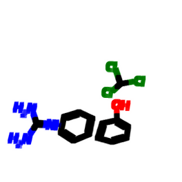 ClC(Cl)Cl.N=C(N)N.Oc1ccccc1.c1ccccc1